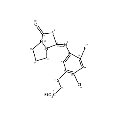 CCOC(=O)CSc1cc(N=c2sc(=O)n3n2CCC3)c(F)cc1Cl